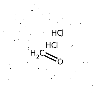 C=O.Cl.Cl